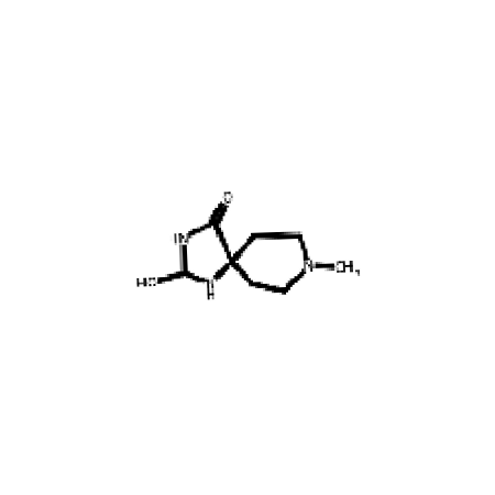 CN1CCC2(CC1)NC(O)NC2=O